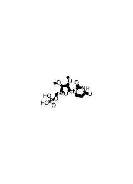 COC1C(OC)[C@@H](COP(=O)(O)O)O[C@H]1n1ccc(=O)[nH]c1=O